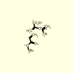 C=C(C(=O)O)C(=O)OCC.C=CC#N.C=CC(=O)OCCCC